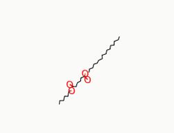 CCCCCCCCCCCCCCCCOC(=O)CCCCC(=O)OCCCCCC